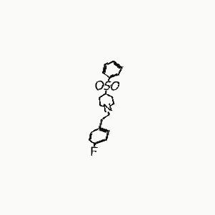 O=S(=O)(c1ccccc1)C1CCN(CCc2ccc(F)cc2)CC1